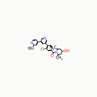 C[C@@H]1CC(O)C[C@@H](C)N1C(=O)c1ccc(-c2cncc(-c3ccnc(C(C)(C)C)c3)c2)c(Cl)c1